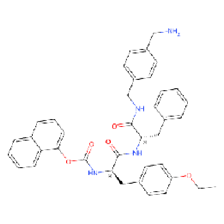 CCOc1ccc(C[C@@H](NC(=O)Oc2cccc3ccccc23)C(=O)N[C@@H](Cc2ccccc2)C(=O)NCc2ccc(CN)cc2)cc1